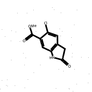 COC(=O)c1cc2c(cc1Cl)CC(=O)N2